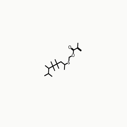 C=C(C)C(=O)OCSC(C)CC(C)(C)C(C)(C)C(C)C(C)C